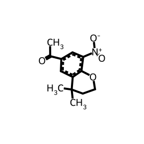 CC(=O)c1cc([N+](=O)[O-])c2c(c1)C(C)(C)CCO2